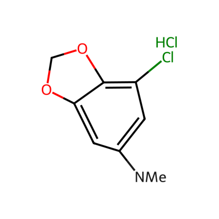 CNc1cc(Cl)c2c(c1)OCO2.Cl